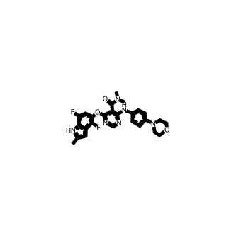 Cc1cc2c(F)c(Oc3ncnc(Nc4ccc(N5CCOCC5)cc4)c3C(=O)N(C)C)cc(F)c2[nH]1